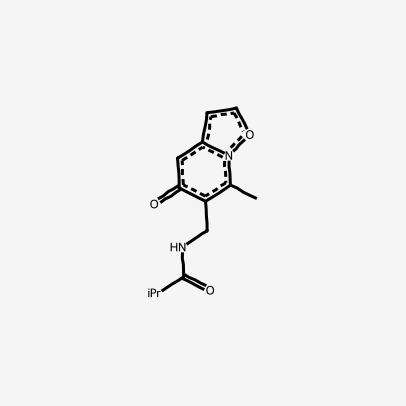 Cc1c(CNC(=O)C(C)C)c(=O)cc2ccon12